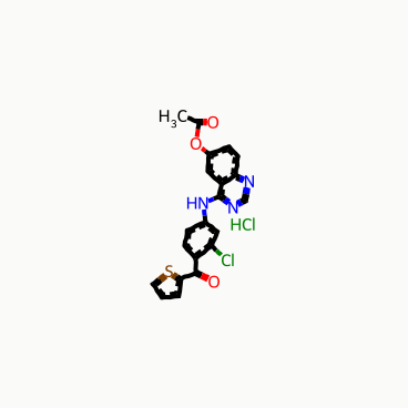 CC(=O)Oc1ccc2ncnc(Nc3ccc(C(=O)c4cccs4)c(Cl)c3)c2c1.Cl